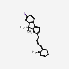 C=C1C=CCC/C1=C/C=C\Cc1ccc2c(c1)C(C)(C)c1cc(I)ccc1-2